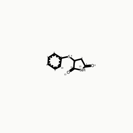 O=C1CC(Sc2ccccc2)C(=O)N1